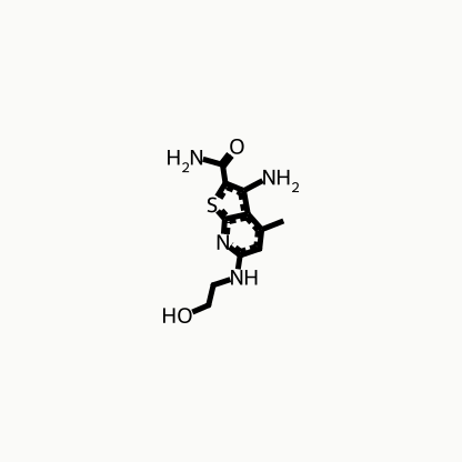 Cc1cc(NCCO)nc2sc(C(N)=O)c(N)c12